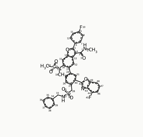 CNC(=O)c1c(-c2ccc(F)cc2)oc2cc(N(C)S(C)(=O)=O)c(-c3ccc(CS(=O)(=O)NCc4ccccc4)c(-c4nc5c(F)cccc5o4)c3)cc12